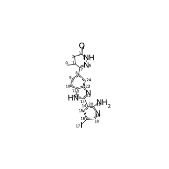 CC1CC(=O)NN=C1c1ccc2[nH]c(-c3cc(I)cnc3N)nc2c1